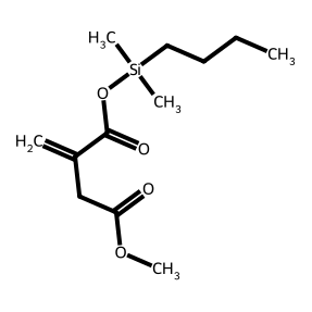 C=C(CC(=O)OC)C(=O)O[Si](C)(C)CCCC